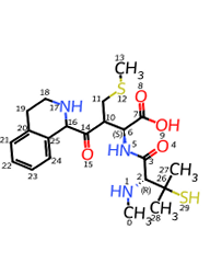 CN[C@H](C(=O)N[C@H](C(=O)O)C(CSC)C(=O)C1NCCc2ccccc21)C(C)(C)S